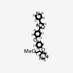 COCCC1(Oc2ccc(Oc3ccc(-c4nc(-c5ccncc5)co4)cc3)cc2)C=NC=NC1